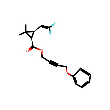 CC1(C)[C@H](C(=O)OCC#CCOc2ccccc2)[C@@H]1C=C(F)F